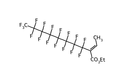 CC=C(C(=O)OCC)C(F)(F)C(F)(F)C(F)(F)C(F)(F)C(F)(F)C(F)(F)C(F)(F)C(F)(F)F